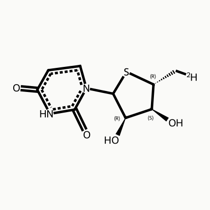 [2H]C[C@H]1SC(n2ccc(=O)[nH]c2=O)[C@H](O)[C@@H]1O